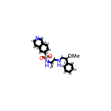 CO[C@@H](CNC[C@@H](C)NS(=O)(=O)c1ccc2cnccc2c1)c1ccccc1